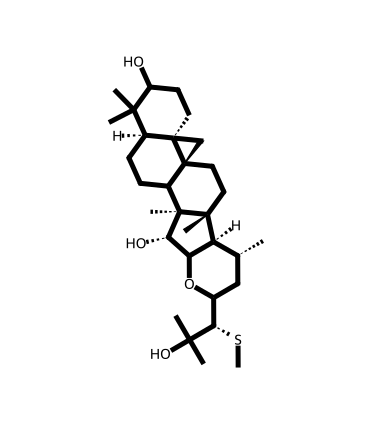 CS[C@@H](C1C[C@@H](C)[C@H]2C(O1)[C@H](O)[C@@]1(C)C3CC[C@H]4C(C)(C)C(O)CC[C@@]45C[C@@]35CC[C@]21C)C(C)(C)O